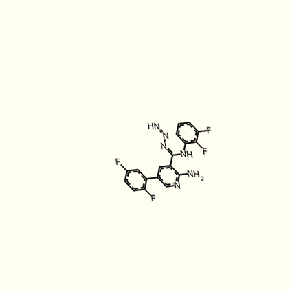 N=N/N=C(\Nc1cccc(F)c1F)c1cc(-c2cc(F)ccc2F)cnc1N